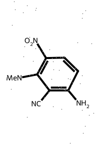 CNc1c([N+](=O)[O-])ccc(N)c1C#N